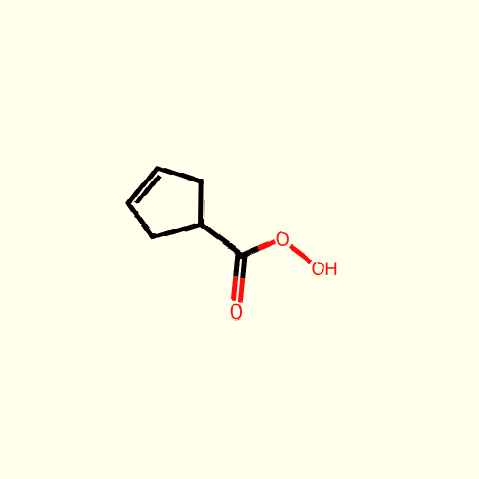 O=C(OO)C1CC=CC1